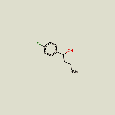 CNCCC(O)c1ccc(F)cc1